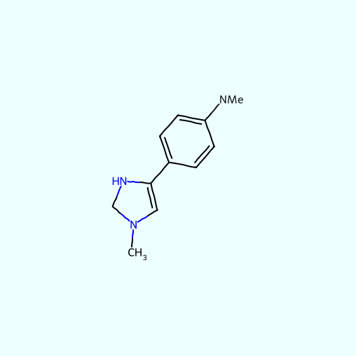 CNc1ccc(C2=CN(C)CN2)cc1